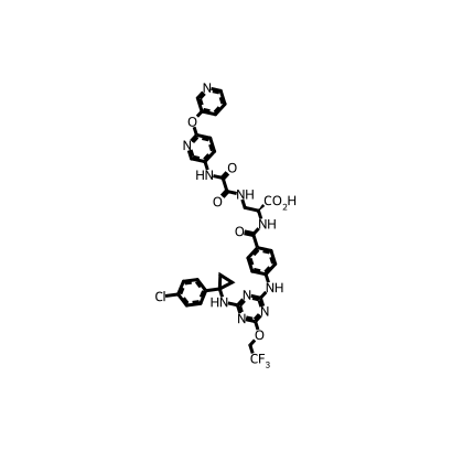 O=C(NC[C@H](NC(=O)c1ccc(Nc2nc(NC3(c4ccc(Cl)cc4)CC3)nc(OCC(F)(F)F)n2)cc1)C(=O)O)C(=O)Nc1ccc(Oc2cccnc2)nc1